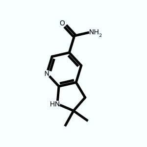 CC1(C)Cc2cc(C(N)=O)cnc2N1